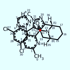 Cc1ccc(-n2nccn2)c(C(=O)N2[C@@H]3CCC[C@H]2c2nn(C)c(-c4cc(Cl)cc(Cl)c4)c2C3)n1